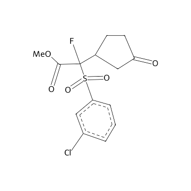 COC(=O)C(F)(C1CCC(=O)C1)S(=O)(=O)c1cccc(Cl)c1